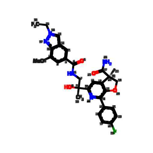 COc1cc(C(=O)NCC(O)(c2cc3c(c(-c4ccc(F)cc4)n2)OC[C@]3(C)C(N)=O)C(F)(F)F)cc2cn(CC(F)(F)F)nc12